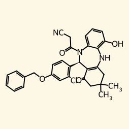 CC1(C)CC(=O)C2=C(C1)Nc1c(O)cccc1N(C(=O)CC#N)[C@@H]2c1ccc(OCc2ccccc2)cc1Cl